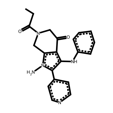 CCC(=O)N1CC(=O)c2c(Nc3ccccc3)c(-c3ccncc3)n(N)c2C1